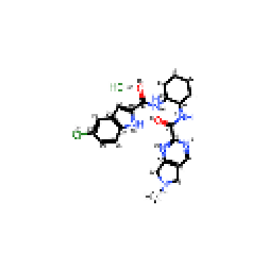 CN1Cc2cnc(C(=O)NC3CCCCC3NC(=O)c3cc4cc(Cl)ccc4[nH]3)nc2C1.Cl